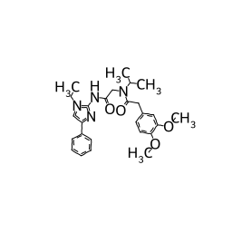 CCn1cc(-c2ccccc2)nc1NC(=O)CN(C(=O)Cc1ccc(OC)c(OC)c1)C(C)C